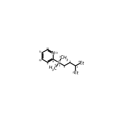 CCC(CC)CC[Si](C)(C)c1ccccn1